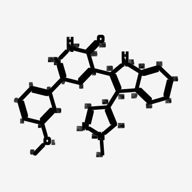 COc1cccc(-c2cc(-c3[nH]c4ccccc4c3-c3cnn(C)c3)c(=O)[nH]n2)c1